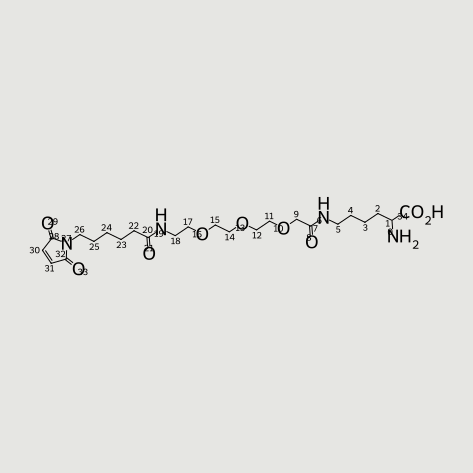 NC(CCCCNC(=O)COCCOCCOCCNC(=O)CCCCCN1C(=O)C=CC1=O)C(=O)O